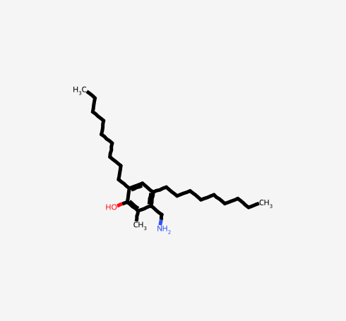 CCCCCCCCCc1cc(CCCCCCCCC)c(CN)c(C)c1O